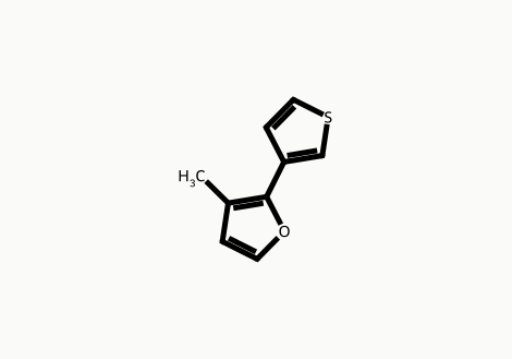 Cc1ccoc1-c1ccsc1